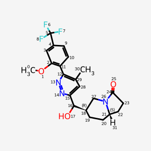 COc1cc(C(F)(F)F)ccc1-c1nnc(C(O)[C@@H]2CC[C@H]3CCC(=O)N3C2)cc1C